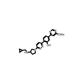 COc1cc(-c2ccc(-c3ccc(N4CCC(NCC5CC5)C4)nn3)c(O)c2)ncn1